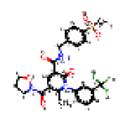 Cc1c(C(=O)N2CCCO2)cc(C(=O)NCc2ccc(S(C)(=O)=O)cc2)c(=O)n1-c1cccc(C(F)(F)F)c1